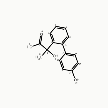 CC(O)(C(=O)O)c1ccccc1-c1ccc(O)cc1